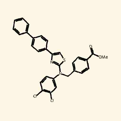 COC(=O)c1ccc(CN(c2ccc(Cl)c(Cl)c2)c2nc(-c3ccc(-c4ccccc4)cc3)cs2)cc1